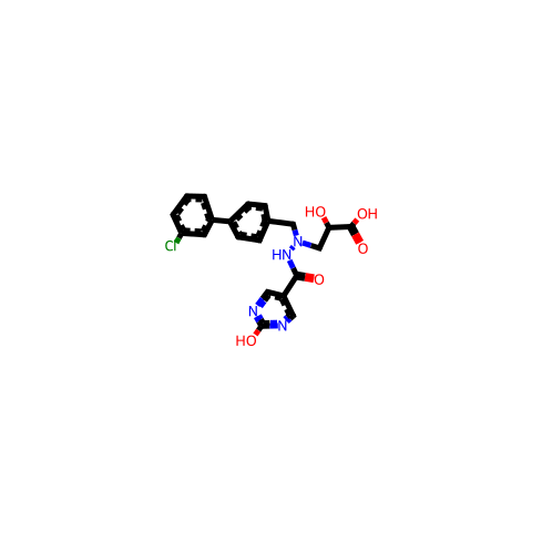 O=C(NN(Cc1ccc(-c2cccc(Cl)c2)cc1)CC(O)C(=O)O)c1cnc(O)nc1